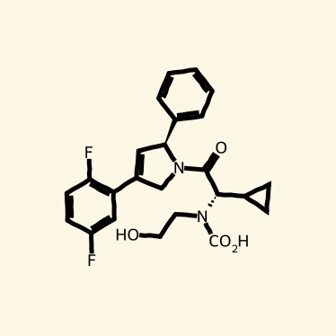 O=C(O)N(CCO)[C@H](C(=O)N1CC(c2cc(F)ccc2F)=C[C@H]1c1ccccc1)C1CC1